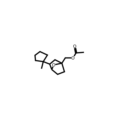 CC(=O)OCC12CCC(O1)C(C1(C)CCCC1)C2